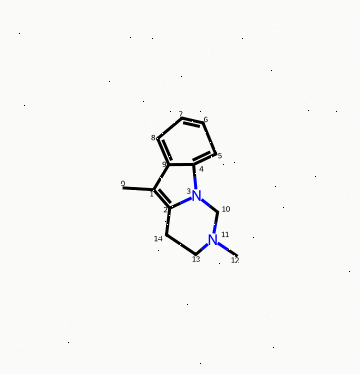 Cc1c2n(c3ccccc13)CN(C)CC2